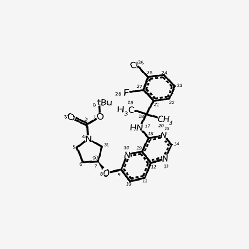 CC(C)(C)OC(=O)N1CC[C@H](Oc2ccc3ncnc(NC(C)(C)c4cccc(Cl)c4F)c3n2)C1